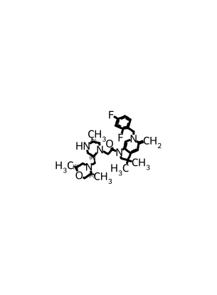 C=C1C=C2C(=CN1Cc1ccc(F)cc1F)N(C(=O)CN1C[C@@H](C)NC[C@@H]1CN1C[C@H](C)OC[C@H]1C)CC2(C)C